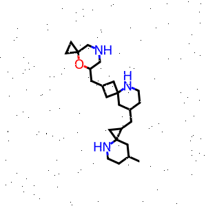 CC1CCNC2(C1)CC2CC1CCNC2(C1)CC(CC1CNCC3(CC3)O1)C2